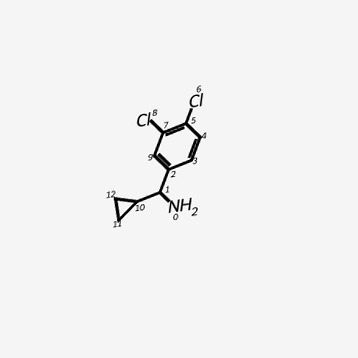 NC(c1ccc(Cl)c(Cl)c1)C1CC1